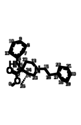 COC(=O)[C@]1(Nc2ccccc2)CCN(CCc2ccccc2)C[C@@H]1C